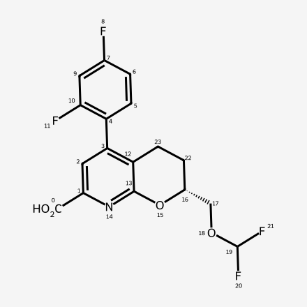 O=C(O)c1cc(-c2ccc(F)cc2F)c2c(n1)O[C@@H](COC(F)F)CC2